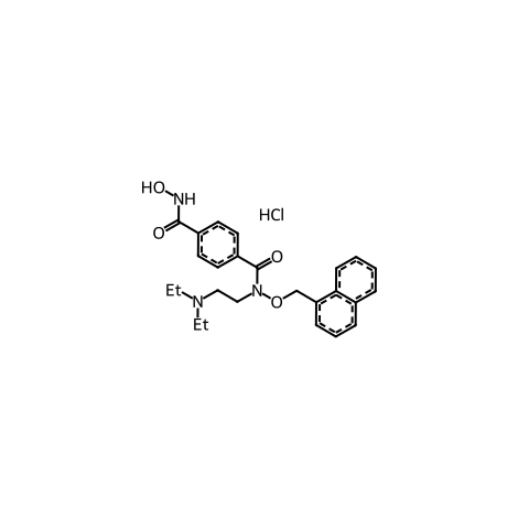 CCN(CC)CCN(OCc1cccc2ccccc12)C(=O)c1ccc(C(=O)NO)cc1.Cl